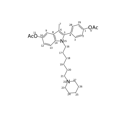 CC(=O)Oc1ccc(-c2c(C)c3cc(OC(C)=O)ccc3n2CCCCCCN2CCCCC2)cc1